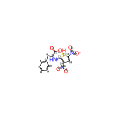 O=C(O)C(Cc1ccccc1)Nc1sc([N+](=O)[O-])cc1[N+](=O)[O-]